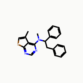 Cc1csc2ncnc(N(C)C(Cc3ccccc3)c3ccccc3)c12